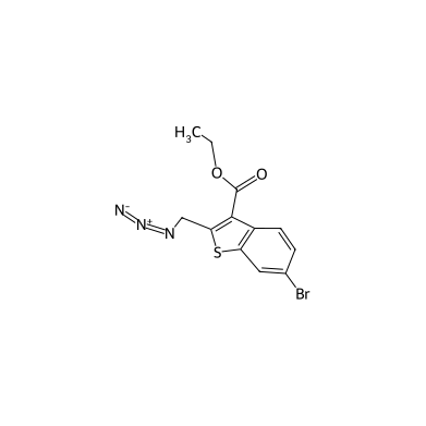 CCOC(=O)c1c(CN=[N+]=[N-])sc2cc(Br)ccc12